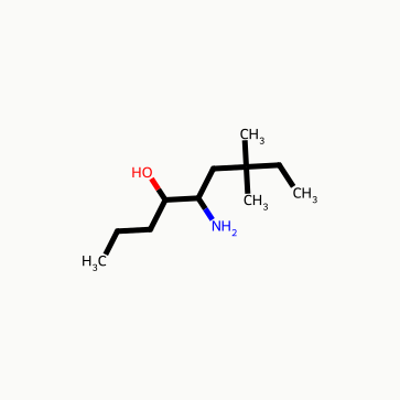 CCCC(O)C(N)CC(C)(C)CC